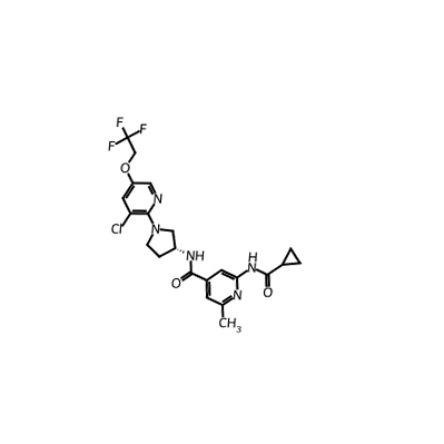 Cc1cc(C(=O)N[C@@H]2CCN(c3ncc(OCC(F)(F)F)cc3Cl)C2)cc(NC(=O)C2CC2)n1